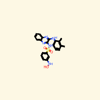 Cc1cccc(Nc2nc3ccccc3nc2NS(=O)(=O)c2cccc(NO)c2)c1C